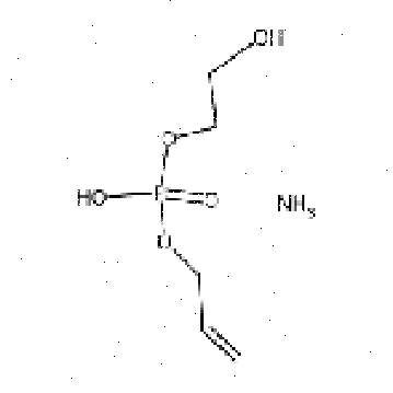 C=CCOP(=O)(O)OCCO.N